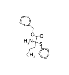 CCCC(N)(Sc1ccccc1)C(=O)OCc1ccccc1